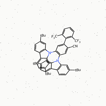 CC(C)(C)c1ccc2c3ccc(C(C)(C)C)cc3n(-c3cc(C#N)c(-c4c(C(F)(F)F)cccc4C(F)(F)F)cc3-n3c4cc(C(C)(C)C)ccc4c4ccc(C(C)(C)C)cc43)c2c1